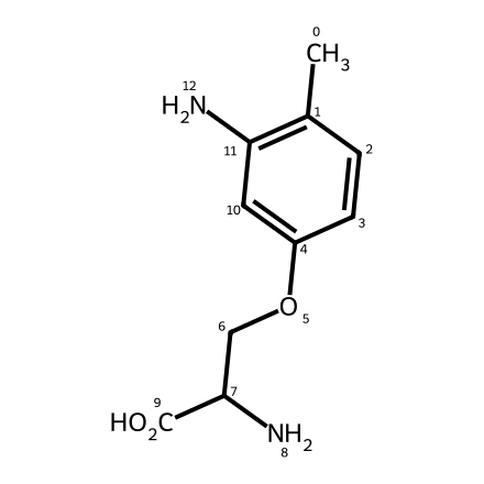 Cc1ccc(OCC(N)C(=O)O)cc1N